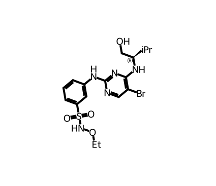 CCONS(=O)(=O)c1cccc(Nc2ncc(Br)c(N[C@@H](CO)C(C)C)n2)c1